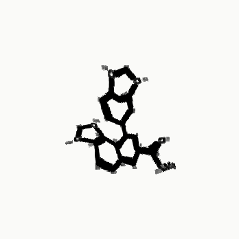 CNC(=O)c1cc(-c2ccc3c(c2)OCO3)c2c3c(ccc2c1)OCO3